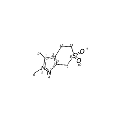 Cc1c2c(nn1C)CS(=O)(=O)CC2